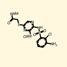 CNC(=O)CSc1cnc(NS(=O)(=O)c2cccc(N)c2Cl)c(OC)n1